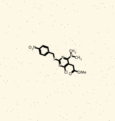 COC(=O)Cc1c(Cl)nc(SCc2ccc([N+](=O)[O-])cc2)nc1N(C)C